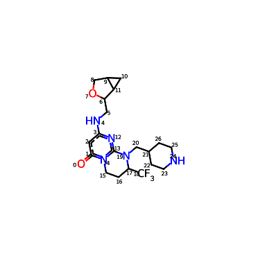 O=c1cc(NCC2OCC3CC32)nc2n1CCC(C(F)(F)F)N2CC1CCNCC1